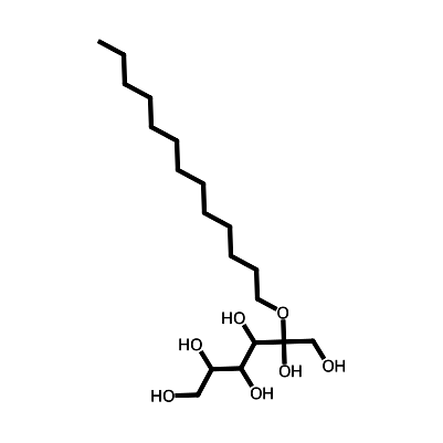 CCCCCCCCCCCCCOC(O)(CO)C(O)C(O)C(O)CO